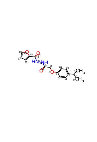 CC(C)c1ccc(OCC(=O)NNC(=O)c2ccco2)cc1